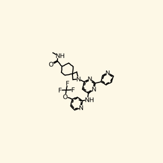 CNC(=O)C1CCC2(CC1)CN(c1cc(Nc3cc(OC(F)(F)F)ccn3)nc(-c3cccnc3)n1)C2